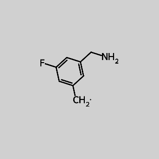 [CH2]c1cc(F)cc(CN)c1